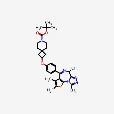 Cc1sc2c(c1C)C(c1ccc(OC3CC4(CCN(C(=O)OC(C)(C)C)CC4)C3)cc1)=N[C@@H](C)c1nnc(C)n1-2